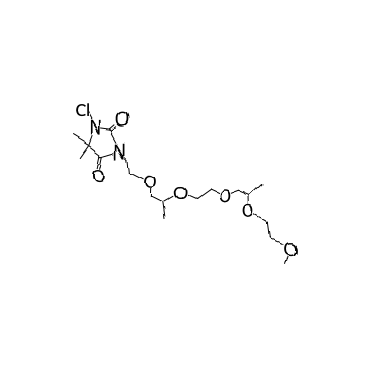 COCCOC(C)COCCOC(C)COCCN1C(=O)N(Cl)C(C)(C)C1=O